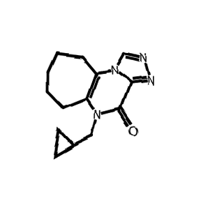 O=c1c2nncn2c2c(n1CC1CC1)CCCCC2